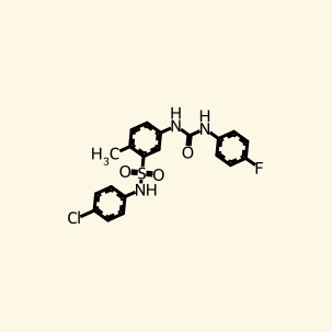 Cc1ccc(NC(=O)Nc2ccc(F)cc2)cc1S(=O)(=O)Nc1ccc(Cl)cc1